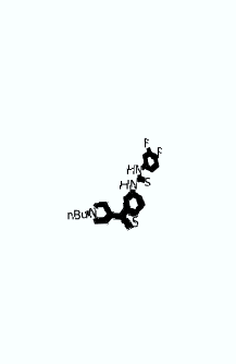 CCCCN1CCC(c2csc3ccc(NC(=S)Nc4ccc(F)c(F)c4)cc23)CC1